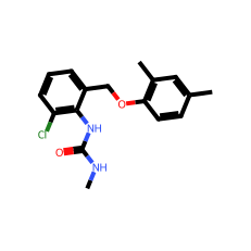 CNC(=O)Nc1c(Cl)cccc1COc1ccc(C)cc1C